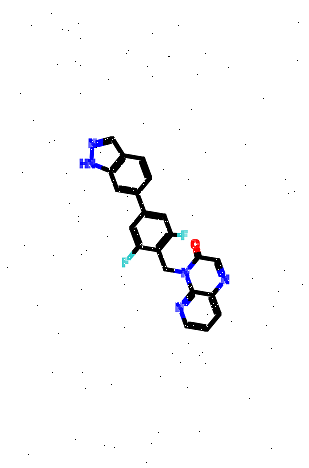 O=c1cnc2cccnc2n1Cc1c(F)cc(-c2ccc3cn[nH]c3c2)cc1F